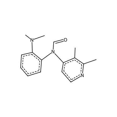 Cc1nccc(N(C=O)c2ccccc2N(C)C)c1C